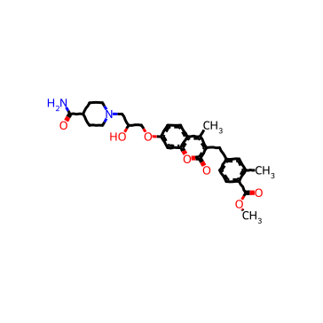 COC(=O)c1ccc(Cc2c(C)c3ccc(OCC(O)CN4CCC(C(N)=O)CC4)cc3oc2=O)cc1C